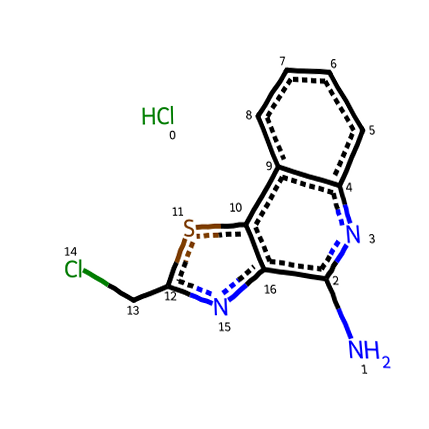 Cl.Nc1nc2ccccc2c2sc(CCl)nc12